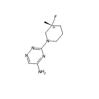 C[C@@]1(F)CCCN(c2nncc(N)n2)C1